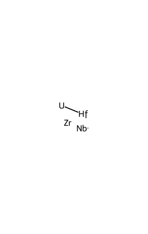 [Hf][U].[Nb].[Zr]